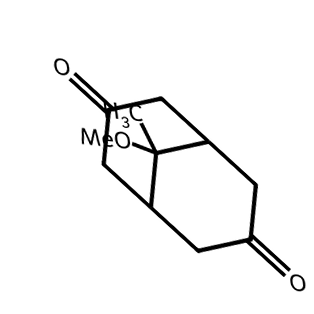 COC1(C)C2CC(=O)CC1CC(=O)C2